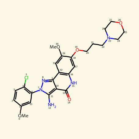 COc1ccc(Cl)c(-n2nc3c(c2N)c(=O)[nH]c2cc(OCCCN4CCOCC4)c(OC)cc23)c1